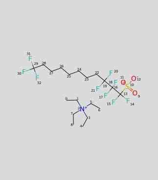 CC[N+](CC)(CC)CC.O=S(=O)([O-])C(F)(F)C(F)(F)C(F)(F)CCCCCCCC(F)(F)F